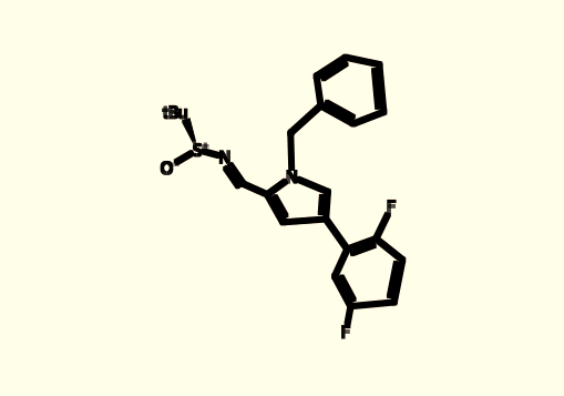 CC(C)(C)[S@+]([O-])/N=C/c1cc(-c2cc(F)ccc2F)cn1Cc1ccccc1